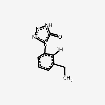 [3H]c1c(CC)cccc1-n1nn[nH]c1=O